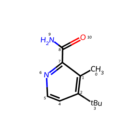 Cc1c(C(C)(C)C)ccnc1C(N)=O